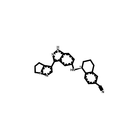 N#Cc1ccc2c(c1)CCC[C@@H]2Nc1ccc2[nH]nc(-c3cnn4c3CCC4)c2c1